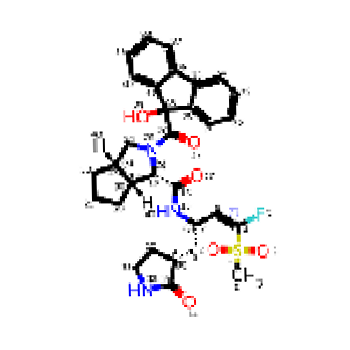 CS(=O)(=O)/C(F)=C\[C@H](C[C@H]1CCNC1=O)NC(=O)[C@@H]1[C@@H]2CCC[C@@H]2CN1C(=O)C1(O)c2ccccc2-c2ccccc21